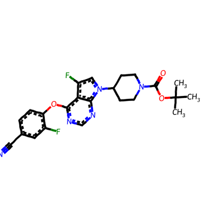 CC(C)(C)OC(=O)N1CCC(n2cc(F)c3c(Oc4ccc(C#N)cc4F)ncnc32)CC1